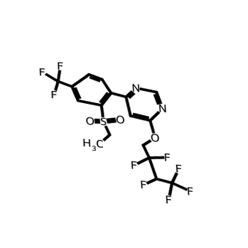 CCS(=O)(=O)c1cc(C(F)(F)F)ccc1-c1cc(OCC(F)(F)C(F)C(F)(F)F)ncn1